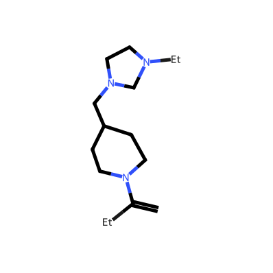 C=C(CC)N1CCC(CN2CCN(CC)C2)CC1